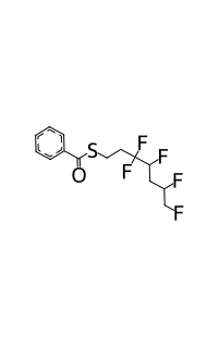 O=C(SCCC(F)(F)C(F)CC(F)CF)c1ccccc1